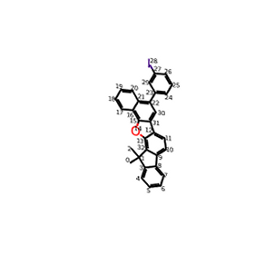 CC1(C)c2ccccc2-c2ccc3c(oc4c5ccccc5c(-c5cccc(I)c5)cc34)c21